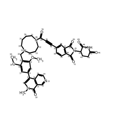 COc1cc(-c2cn(C)c(=O)c3cnccc23)cc(OC)c1CN1CCCCN(C(=O)C#Cc2ccc3c(c2)C(=O)N(C2CCC(=O)NC2=O)C3=O)CCC1